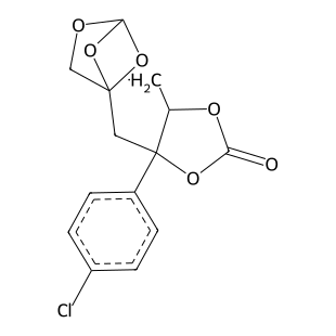 [CH2]C1OC(=O)OC1(CC12COC(O1)O2)c1ccc(Cl)cc1